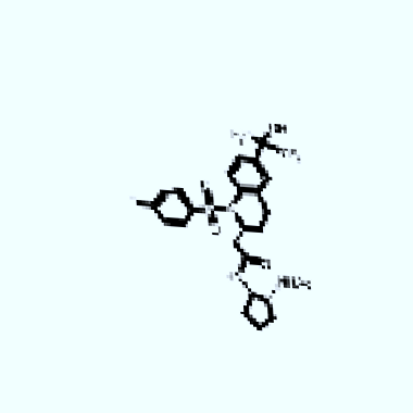 CC(=O)N[C@@H]1CCC[C@H]1NC(=O)C[C@@H]1CCc2cc(C(O)(C(F)(F)F)C(F)(F)F)ccc2N1S(=O)(=O)c1ccc(F)cc1